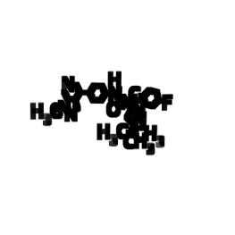 Cc1ccc(F)cc1-n1nc(C(C)(C)C)cc1NC(=O)Nc1ccc(-c2cncc3c2cnn3C)cc1